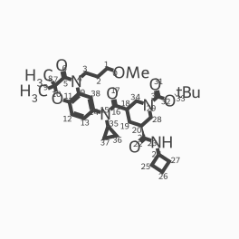 COCCCN1C(=O)C(C)(C)Oc2ccc(N(C(=O)C3C[C@H](C(=O)NC4CCC4)CN(C(=O)OC(C)(C)C)C3)C3CC3)cc21